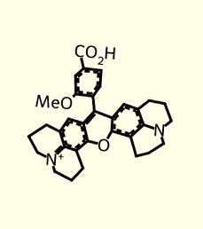 COc1cc(C(=O)O)ccc1C1=c2cc3c4c(c2Oc2c1cc1c5c2CCCN5CCC1)CCC[N+]=4CCC3